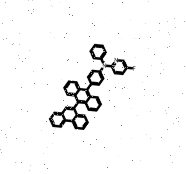 Fc1ccc(N(c2ccccc2)c2ccc(-c3c4ccccc4c(-c4cc5ccccc5c5ccccc45)c4ccccc34)cc2)nc1